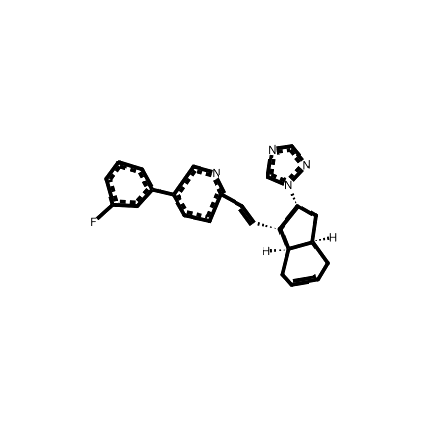 Fc1cccc(-c2ccc(/C=C/[C@H]3[C@@H]4CC=CC[C@@H]4C[C@H]3n3cncn3)nc2)c1